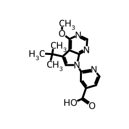 COc1ncnc2c1c(C(C)(C)C)cn2-c1cc(C(=O)O)ccn1